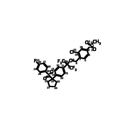 CS(=O)(=O)c1ccc(COC(c2ccc(C3(S(=O)(=O)c4ccc(F)cc4)CCCC3)cc2)(C(F)(F)F)C(F)(F)F)c(Cl)c1